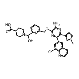 Cn1ccc(-c2nc(N)c(OCc3cccc(C(O)N4CCC(C(=O)O)CC4)n3)nc2-c2cc(Cl)c3ncccc3c2)n1